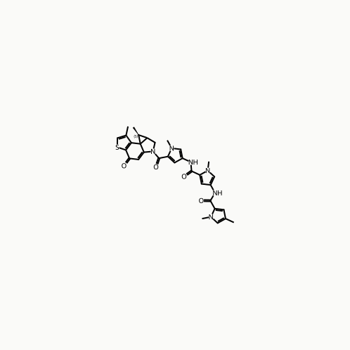 Cc1cc(C(=O)Nc2cc(C(=O)Nc3cc(C(=O)N4CC5[C@H](C)C56C4=CC(=O)c4scc(C)c46)n(C)c3)n(C)c2)n(C)c1